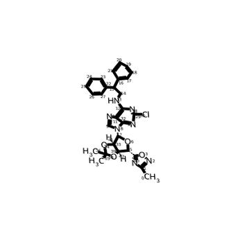 Cc1noc([C@H]2O[C@@H](n3cnc4c(NCC(c5ccccc5)c5ccccc5)nc(Cl)nc43)[C@@H]3OC(C)(C)O[C@@H]32)n1